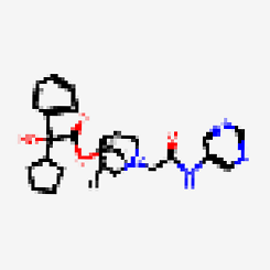 O=C(C[N+]12CCC(CC1)[C@@H](OC(=O)C(O)(c1ccccc1)C1CCCC1)C2)Nc1cncnc1